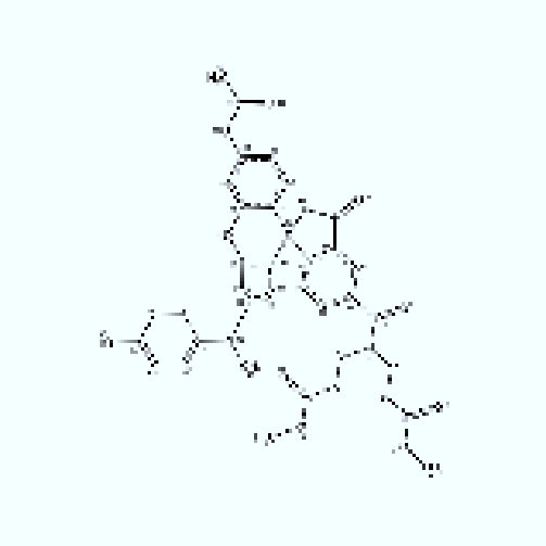 COC(=O)CCN(CCC(=O)OC)C(=O)c1ccc2c(c1)C(=O)OC21c2ccc(OC(C)=O)cc2Oc2cc(N(C)C3=CC=C(O)CC3)ccc21